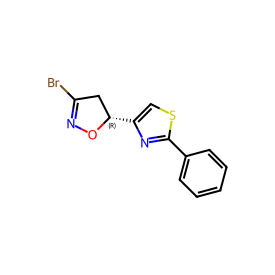 BrC1=NO[C@@H](c2csc(-c3ccccc3)n2)C1